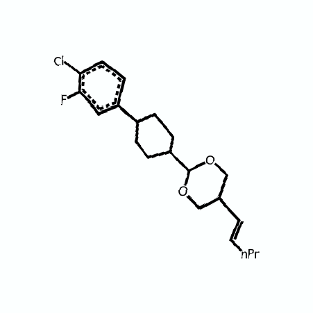 CCCC=CC1COC(C2CCC(c3ccc(Cl)c(F)c3)CC2)OC1